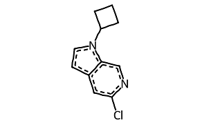 Clc1cc2ccn(C3CCC3)c2cn1